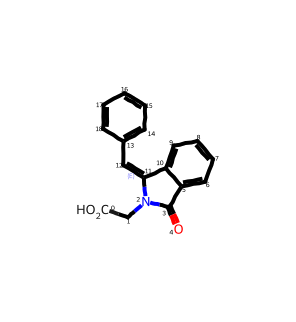 O=C(O)CN1C(=O)c2ccccc2/C1=C\c1ccccc1